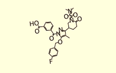 Cc1c(C2CCC(=O)N(S(=O)(=O)N(C)C)C2)nn(C(=O)c2cccc(C(=O)O)c2)c1OCc1ccc(F)cc1